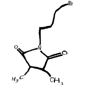 CC1C(=O)N(CCCBr)C(=O)C1C